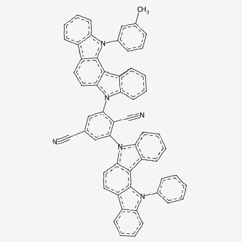 Cc1cccc(-n2c3ccccc3c3ccc4c(c5ccccc5n4-c4cc(C#N)cc(-n5c6ccccc6c6c5ccc5c7ccccc7n(-c7ccccc7)c56)c4C#N)c32)c1